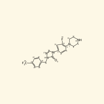 O=c1n(-c2ccc(N3CCNCC3)c(F)c2)cnn1Cc1ccc(C(F)(F)F)cc1